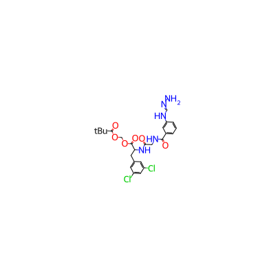 CC(C)(C)C(=O)OCOC(=O)C(Cc1cc(Cl)cc(Cl)c1)NC(=O)CNC(=O)c1cccc(NC=NN)c1